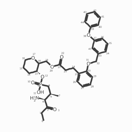 CCC(=O)[C@@H](N)[C@H](C)CP(=O)(O)O[C@@H]1CCCOC1COC(=O)CCc1ccccc1OCc1cccc(Oc2ccccc2)c1